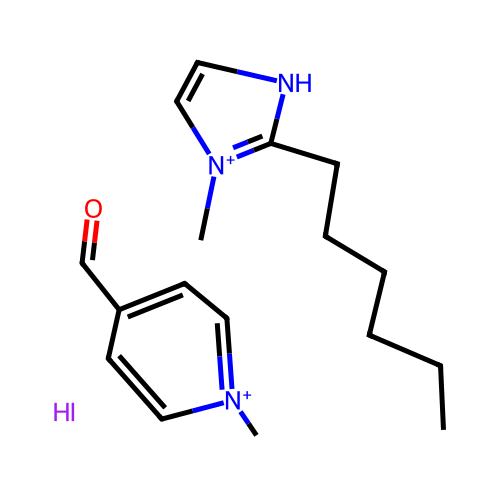 CCCCCCc1[nH]cc[n+]1C.C[n+]1ccc(C=O)cc1.I